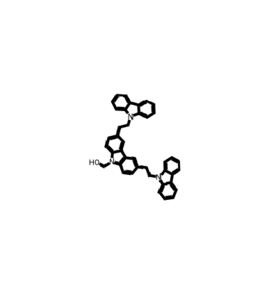 OCn1c2ccc(CCn3c4ccccc4c4ccccc43)cc2c2cc(CCn3c4ccccc4c4ccccc43)ccc21